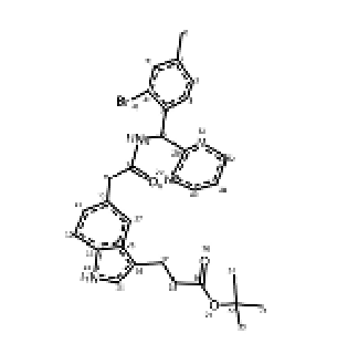 Cc1ccc(C(NC(=O)Cc2ccc3[nH]cc(CCC(=O)OC(C)(C)C)c3c2)c2ncccn2)c(Br)c1